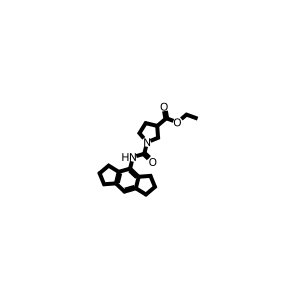 CCOC(=O)C1CCN(C(=O)Nc2c3c(cc4c2CCC4)CCC3)C1